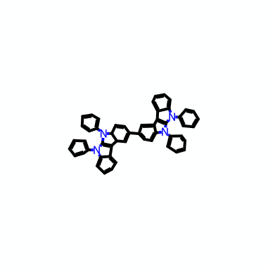 C1=CC2C(C=C1c1ccc3c(c1)c1c4ccccc4n(-c4ccccc4)c1n3-c1ccccc1)c1c(n(-c3ccccc3)c3ccccc13)N2c1ccccc1